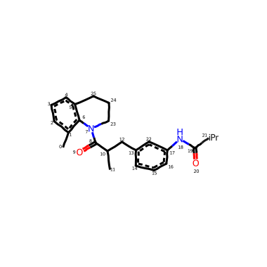 Cc1cccc2c1N(C(=O)C(C)Cc1cccc(NC(=O)C(C)C)c1)CCC2